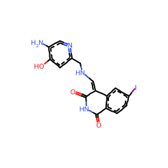 Nc1cnc(CN/C=C2\C(=O)NC(=O)c3ccc(I)cc32)cc1O